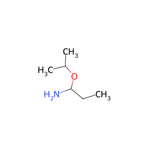 CCC(N)OC(C)C